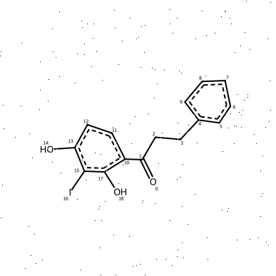 O=C(CCc1ccccc1)c1ccc(O)c(I)c1O